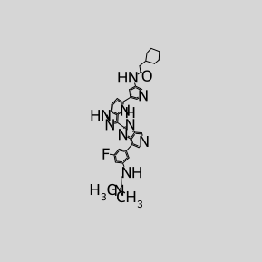 CN(C)CCNc1cc(F)cc(-c2cncc3[nH]c(-c4n[nH]c5ccc(-c6cncc(NC(=O)CC7CCCCC7)c6)nc45)nc23)c1